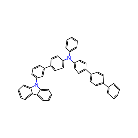 c1ccc(-c2ccc(-c3ccc(N(c4ccccc4)c4ccc(-c5cccc(-n6c7ccccc7c7ccccc76)c5)cc4)cc3)cc2)cc1